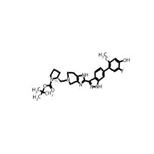 CCc1cc(O)c(F)cc1-c1ccc2c(-c3nc4c([nH]3)CCN(C[C@@H]3CCCN3C(=O)OC(C)(C)C)C4)n[nH]c2c1